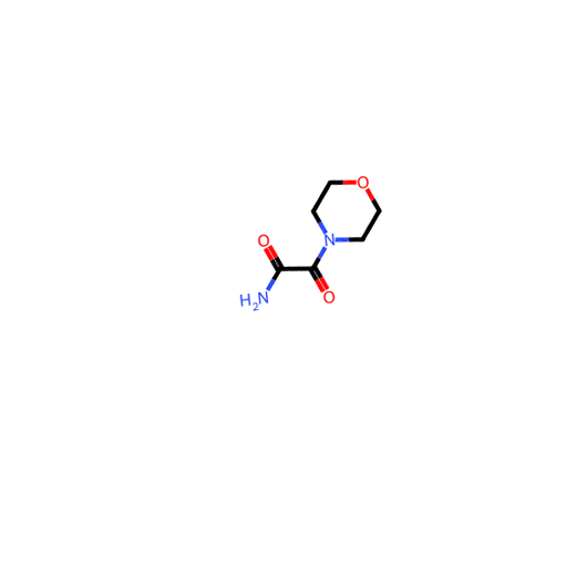 NC(=O)C(=O)N1CCOCC1